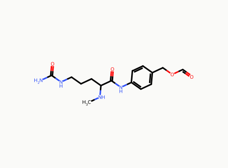 CNC(CCCNC(N)=O)C(=O)Nc1ccc(COC=O)cc1